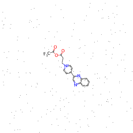 O=C(CC[n+]1ccc(-c2cnc3ccccc3n2)cc1)OC(=O)C(F)(F)F